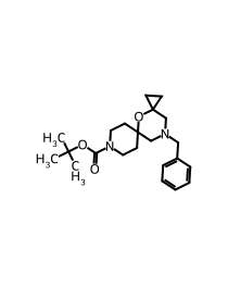 CC(C)(C)OC(=O)N1CCC2(CC1)CN(Cc1ccccc1)CC1(CC1)O2